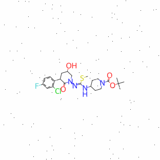 CS/C(=N\N1CC(O)CC(c2ccc(F)cc2Cl)C1=O)NC1CCN(C(=O)OC(C)(C)C)CC1